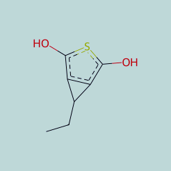 CCC1c2c(O)sc(O)c21